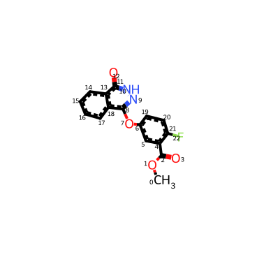 COC(=O)c1cc(Oc2n[nH]c(=O)c3ccccc23)ccc1F